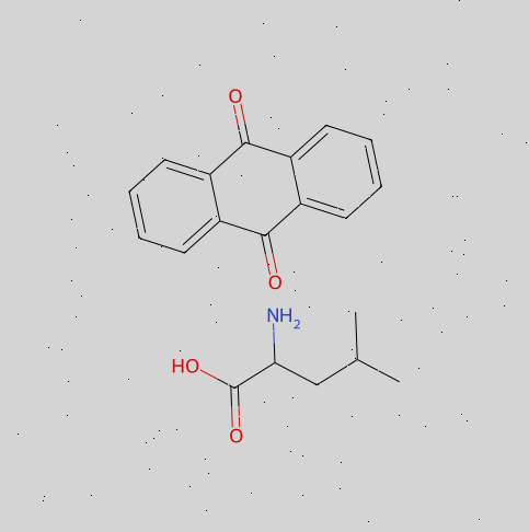 CC(C)CC(N)C(=O)O.O=C1c2ccccc2C(=O)c2ccccc21